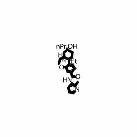 CCC[C@@]1(O)CC[C@@]2(CC)c3ccc(C(=O)Nc4cccnc4C)cc3OCC[C@H]2C1